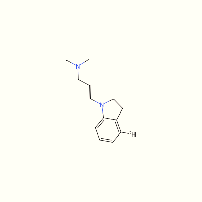 [2H]c1cccc2c1CCN2CCCN(C)C